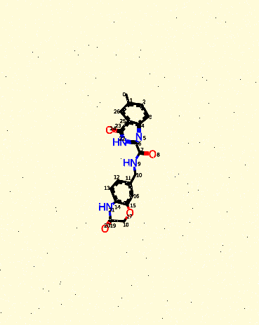 Cc1ccc2nc(C(=O)NCc3ccc4c(c3)OCC(=O)N4)[nH]c(=O)c2c1